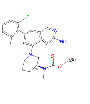 Cc1cccc(F)c1-c1cc(N2CCC[C@H](N(C)C(=O)OC(C)(C)C)C2)c2cc(N)ncc2c1